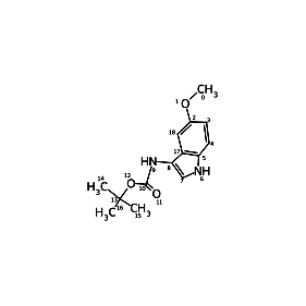 COc1ccc2[nH]cc(NC(=O)OC(C)(C)C)c2c1